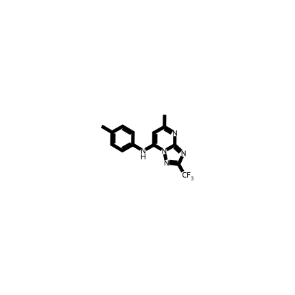 Cc1ccc(Nc2cc(C)nc3nc(C(F)(F)F)nn23)cc1